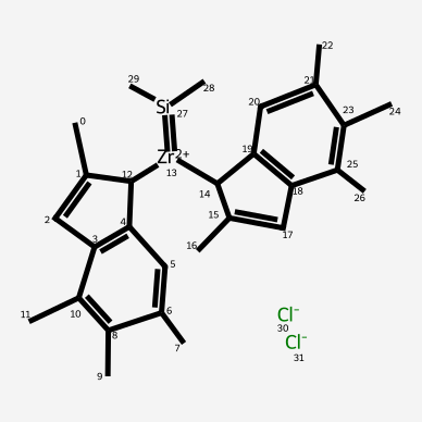 CC1=Cc2c(cc(C)c(C)c2C)[CH]1[Zr+2]([CH]1C(C)=Cc2c1cc(C)c(C)c2C)=[Si](C)C.[Cl-].[Cl-]